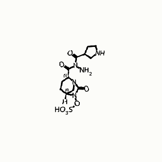 NN(C(=O)C1CCNC1)C(=O)[C@@H]1CC[C@@H]2CN1C(=O)N2OS(=O)(=O)O